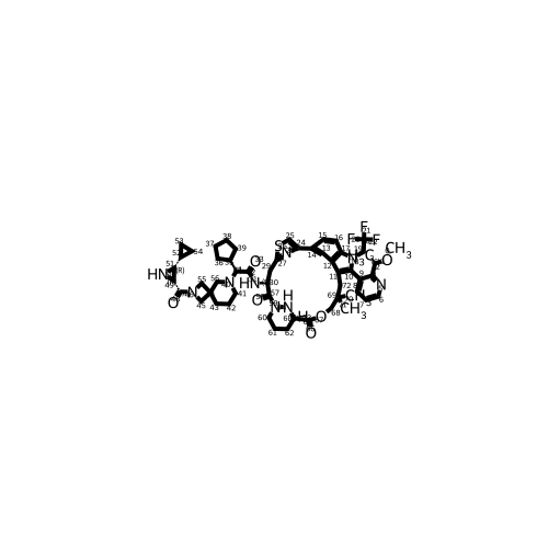 CO[C@@H](C)c1ncccc1-c1c2c3cc(ccc3n1CC(F)(F)F)-c1csc(n1)C[C@H](NC(=O)[C@H](C1CCCC1)N1CCCC3(CN(C(=O)[C@@H]4N[C@@H]4C4CC4)C3)C1)C(=O)N1CCC[C@H](N1)C(=O)OCC(C)(C)C2